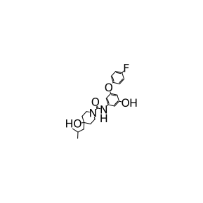 CC(C)CC1(O)CCN(C(=O)Nc2cc(O)cc(Oc3ccc(F)cc3)c2)CC1